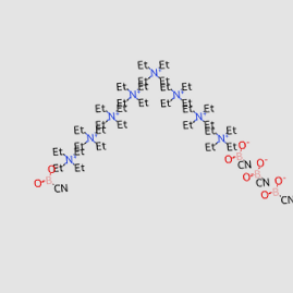 CC[N+](CC)(CC)CC.CC[N+](CC)(CC)CC.CC[N+](CC)(CC)CC.CC[N+](CC)(CC)CC.CC[N+](CC)(CC)CC.CC[N+](CC)(CC)CC.CC[N+](CC)(CC)CC.CC[N+](CC)(CC)CC.N#CB([O-])[O-].N#CB([O-])[O-].N#CB([O-])[O-].N#CB([O-])[O-]